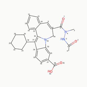 CC(=O)NN(C)C(=O)C1=Cc2ccccc2-c2c(C3CCCCC3)c3ccc(C(=O)O)cc3n2C1